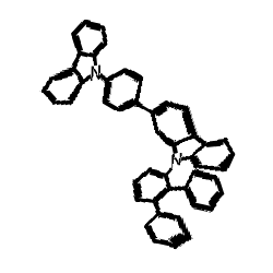 c1ccc(-c2cccc(-n3c4ccccc4c4ccc(-c5ccc(-n6c7ccccc7c7ccccc76)cc5)cc43)c2-c2ccccc2)cc1